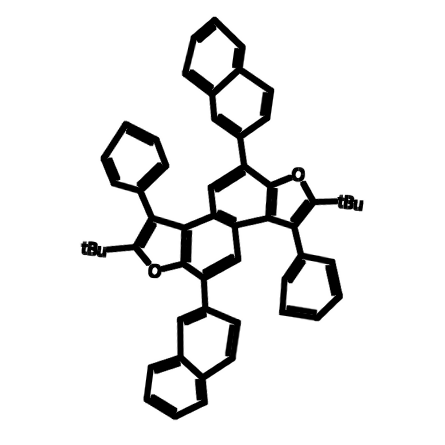 CC(C)(C)c1oc2c(-c3ccc4ccccc4c3)cc3c(cc(-c4ccc5ccccc5c4)c4oc(C(C)(C)C)c(-c5ccccc5)c43)c2c1-c1ccccc1